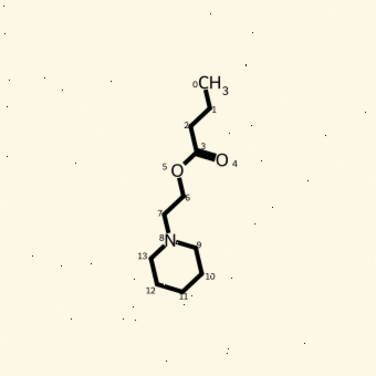 CCCC(=O)OCCN1CCCCC1